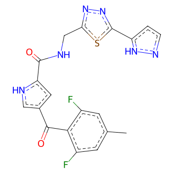 Cc1cc(F)c(C(=O)c2c[nH]c(C(=O)NCc3nnc(-c4ccn[nH]4)s3)c2)c(F)c1